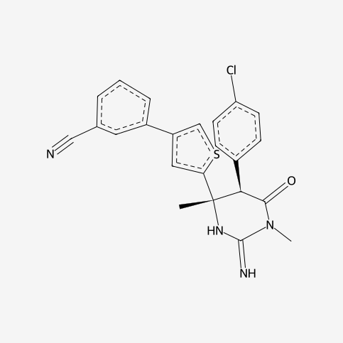 CN1C(=N)N[C@](C)(c2cc(-c3cccc(C#N)c3)cs2)[C@@H](c2ccc(Cl)cc2)C1=O